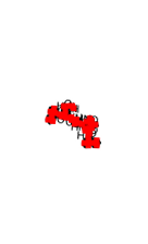 CN[C@@H](C)C(=O)N[C@H](C(=O)N1C[C@@H](NC(=O)c2ccc(C(=O)N[C@H]3C[C@@H](C(=O)NCc4ccccc4-c4ccccc4)N(C(=O)[C@@H](NC(=O)[C@H](C)NC)C(C)(C)C)C3)cc2)C[C@H]1C(=O)NCc1ccccc1-c1ccccc1)C(C)(C)C